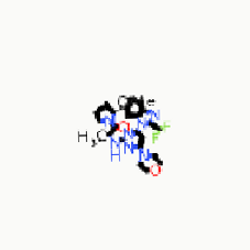 COC[C@H]1CCCN1C(=O)[C@H](C)Nc1nc(N2CCOCC2)cc(-n2c(C(F)F)nc3ccccc32)n1